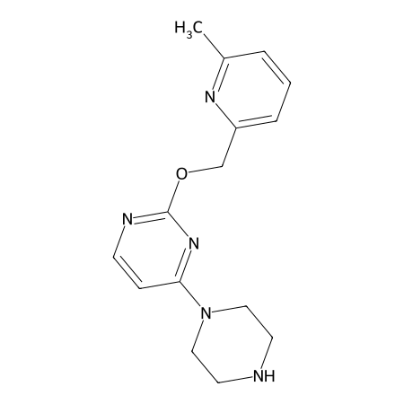 Cc1cccc(COc2nccc(N3CCNCC3)n2)n1